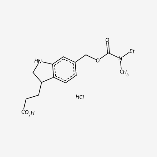 CCN(C)C(=O)OCc1ccc2c(c1)NCC2CCC(=O)O.Cl